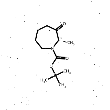 C[C@H]1C(=O)CCCCN1C(=O)OC(C)(C)C